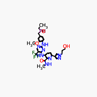 CC[PH](=O)Cc1ccc(Nc2ncc(C(F)(F)F)c(Nc3ccc(-c4cnn(CCCO)c4)nc3C(=O)NC)n2)c(OC)c1